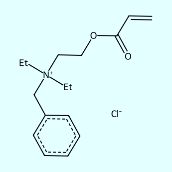 C=CC(=O)OCC[N+](CC)(CC)Cc1ccccc1.[Cl-]